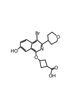 O=C(O)C1CC(Oc2nc(C3CCOCC3)c(Br)c3ccc(O)cc23)C1